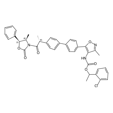 Cc1noc(-c2ccc(-c3ccc([C@@H](C)C(=O)N4C(=O)O[C@@H](c5ccccc5)[C@H]4C)cc3)cc2)c1NC(=O)OC(C)c1ccccc1Cl